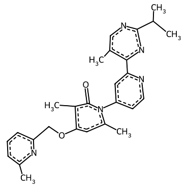 Cc1cccc(COc2cc(C)n(-c3ccnc(-c4nc(C(C)C)ncc4C)c3)c(=O)c2C)n1